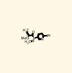 C=NN(C(=O)/C(=C\C)OC)c1ccc(C(C)C)nc1